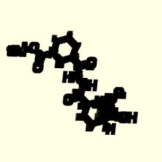 CC(C)(C)OC(=O)N1CCCC(C(=O)NNC(=O)C2CC[C@H]3CN2C(=O)N3O)C1